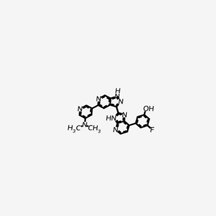 CN(C)c1cncc(-c2cc3c(-c4nc5c(-c6cc(O)cc(F)c6)ccnc5[nH]4)n[nH]c3cn2)c1